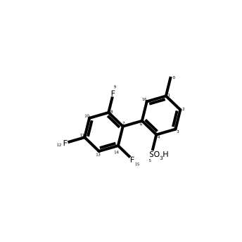 Cc1ccc(S(=O)(=O)O)c(-c2c(F)cc(F)cc2F)c1